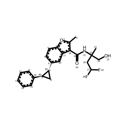 Cc1oc2ccc([C@@H]3C[C@H]3c3ccccc3)cc2c1C(=O)NC(C)(CO)CC(F)F